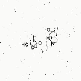 COc1cc2c(cc1OC)[C@H]1C[C@@H](COC(=O)NC(C)C(=O)O)[C@H](CC(C)C)CN1CC2